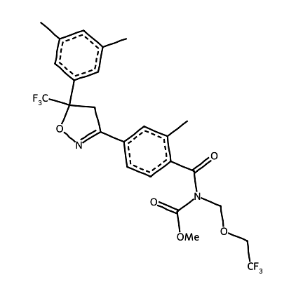 COC(=O)N(COCC(F)(F)F)C(=O)c1ccc(C2=NOC(c3cc(C)cc(C)c3)(C(F)(F)F)C2)cc1C